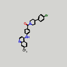 O=C(c1ccc(Nc2ccnc3cc(C(F)(F)F)ccc23)cc1)N1CC=C(c2ccc(Br)cc2)CC1